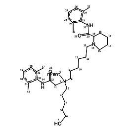 CCCCC[N+](CCCCCO)(CCCCCCN1CCCCC1C(=O)Nc1c(C)cccc1C)CC(=O)Nc1c(C)cccc1C